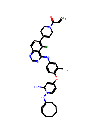 C=CC(=O)N1CC=C(c2ccc3ncnc(Nc4ccc(OC5=CC(N)N(N/C6=C/CCCCCC6)C=C5)c(C)c4)c3c2F)CC1